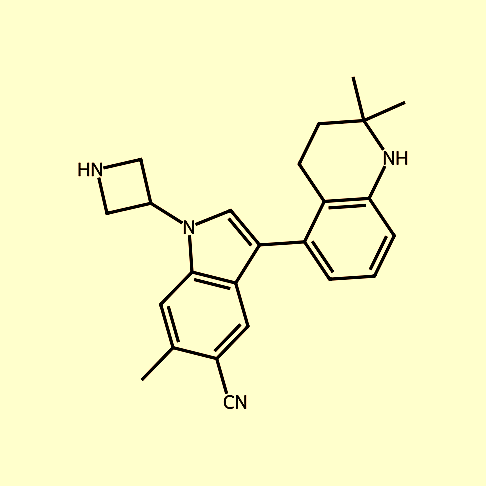 Cc1cc2c(cc1C#N)c(-c1cccc3c1CCC(C)(C)N3)cn2C1CNC1